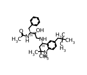 CC(=O)N[C@@H](Cc1ccccc1)[C@@H](O)CN[C@H]1CC(C)(C)Nc2ccc(CC(C)(C)C)cc21